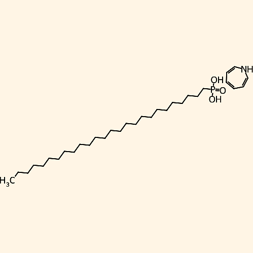 C1=CC=CNC=C1.CCCCCCCCCCCCCCCCCCCCCCCCCCP(=O)(O)O